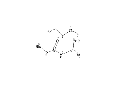 CCCOC.CC[C@H](NC(=O)OC(C)(C)C)C(=O)O